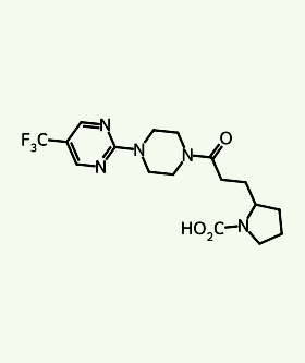 O=C(CCC1CCCN1C(=O)O)N1CCN(c2ncc(C(F)(F)F)cn2)CC1